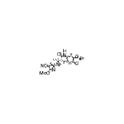 COc1nc(N[C@@H](C)c2cc3cc(Cl)c(OC(C)C)cc3[nH]c2=O)sc1C#N